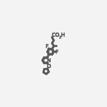 CC(CCCC(=O)O)c1c(F)cc(-c2cccc(OC3CCCC3)n2)cc1F